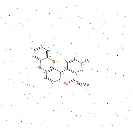 COC(=O)c1cc(Cl)ccc1-c1cccc2c1Sc1ccccc1S2